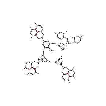 Cc1ccc(CN(Cc2ccc(C)cc2C)c2cc3c(O)c(c2)Cc2cc(N(Cc4ccc(C)cc4C)Cc4ccc(C)cc4C)cc(c2O)Cc2cc(N(Cc4ccc(C)cc4C)Cc4ccc(C)cc4C)cc(c2O)Cc2cc(N(Cc4ccc(C)cc4C)Cc4ccc(C)cc4C)cc(c2O)C3)c(C)c1